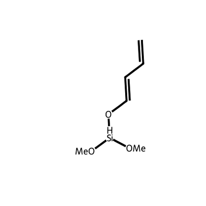 C=CC=CO[SiH](OC)OC